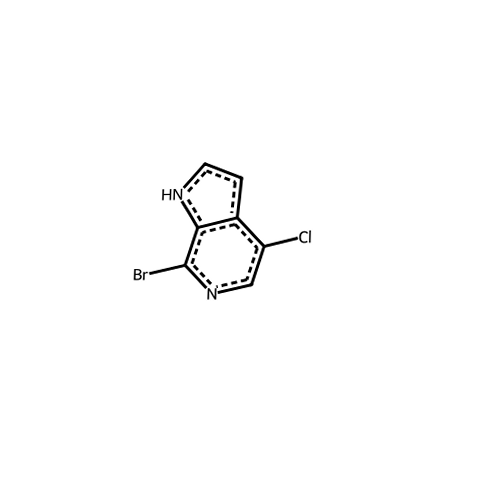 Clc1cnc(Br)c2[nH]ccc12